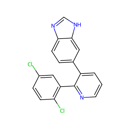 Clc1ccc(Cl)c(-c2ncccc2-c2ccc3nc[nH]c3c2)c1